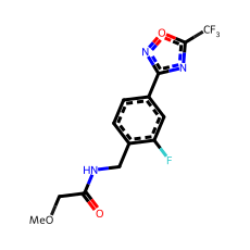 COCC(=O)NCc1ccc(-c2noc(C(F)(F)F)n2)cc1F